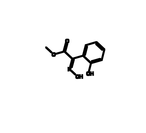 COC(=O)/C(=N/O)c1ccccc1O